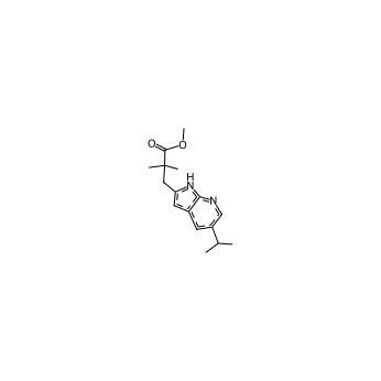 COC(=O)C(C)(C)Cc1cc2cc(C(C)C)cnc2[nH]1